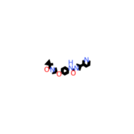 CC1(C(=O)N2CC(Oc3ccc(NC(=O)N4CC(c5cccnc5)C4)cc3)C2)CC1